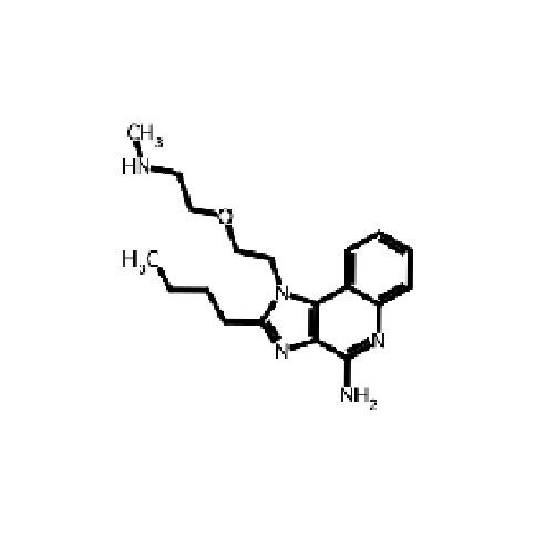 CCCCc1nc2c(N)nc3ccccc3c2n1CCOCCNC